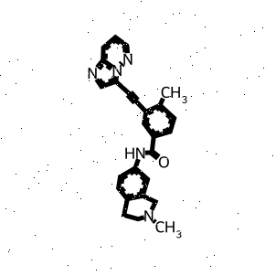 Cc1ccc(C(=O)Nc2ccc3c(c2)CN(C)CC3)cc1C#Cc1cnc2cccnn12